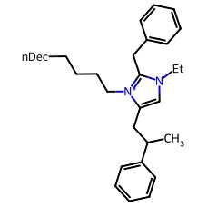 CCCCCCCCCCCCCC[n+]1c(CC(C)c2ccccc2)cn(CC)c1Cc1ccccc1